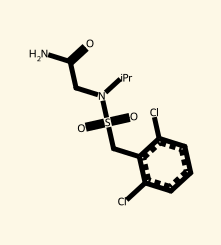 CC(C)N(CC(N)=O)S(=O)(=O)Cc1c(Cl)cccc1Cl